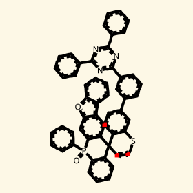 O=P1(c2ccccc2)c2ccccc2C2(c3ccccc3Sc3cc(-c4cccc(-c5nc(-c6ccccc6)nc(-c6ccccc6)n5)c4)ccc32)c2cc3c(cc21)oc1ccccc13